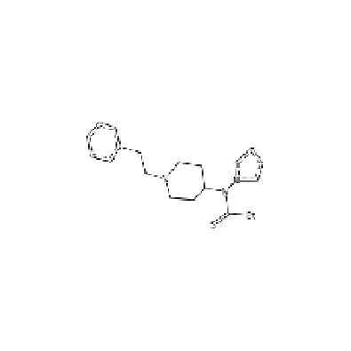 CCC(=S)N(C1CCN(CCc2ccccc2)CC1)n1cccc1